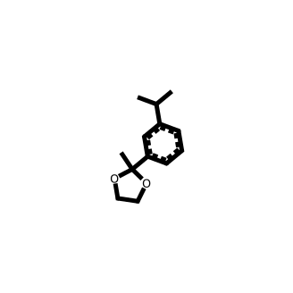 CC(C)c1cccc(C2(C)OCCO2)c1